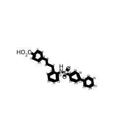 O=C(O)c1ccc(CCCc2ccccc2NS(=O)(=O)c2ccc(-c3ccccc3)cc2)cc1